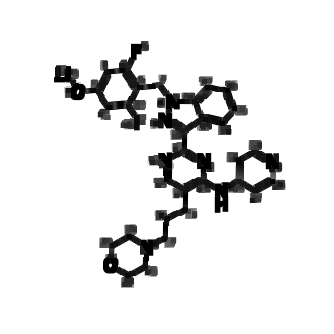 CCOc1cc(F)c(Cn2nc(-c3ncc(CCCN4CCOCC4)c(Nc4ccncc4)n3)c3ccccc32)c(F)c1